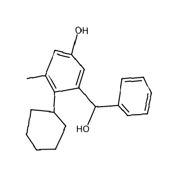 Cc1cc(O)cc(C(O)c2ccccc2)c1C1CCCCC1